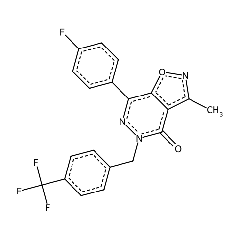 Cc1noc2c(-c3ccc(F)cc3)nn(Cc3ccc(C(F)(F)F)cc3)c(=O)c12